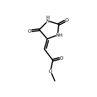 COC(=O)/C=C1\NC(=O)NC1=O